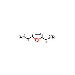 CC.CC(C)CCOCCC(C)C